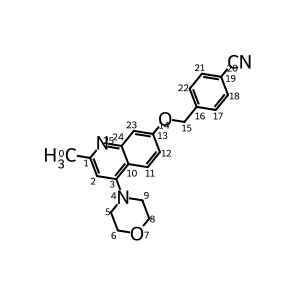 Cc1cc(N2CCOCC2)c2ccc(OCc3ccc(C#N)cc3)cc2n1